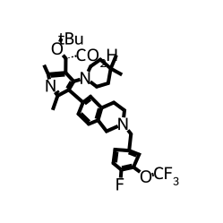 Cc1nc(C)c([C@H](OC(C)(C)C)C(=O)O)c(N2CCC(C)(C)CC2)c1-c1ccc2c(c1)CCN(Cc1ccc(F)c(OC(F)(F)F)c1)C2